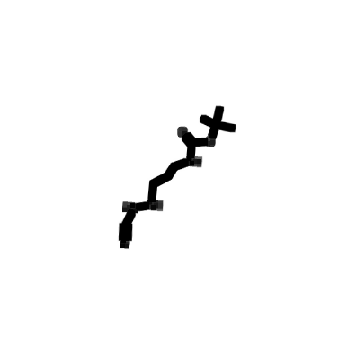 CC(C)(C)OC(=O)NCCCNNC#N